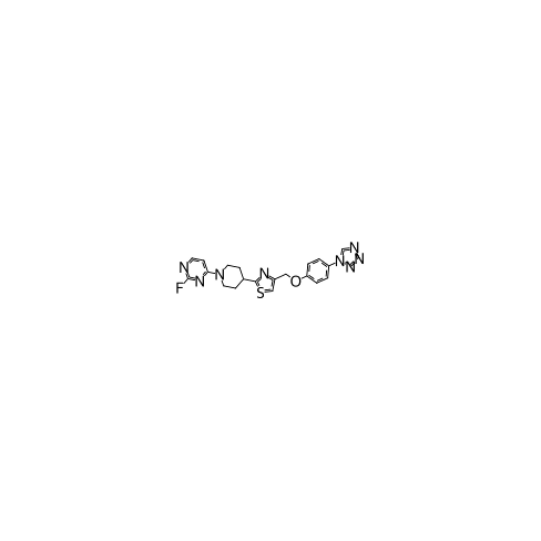 Fc1nccc(N2CCC(c3nc(COc4ccc(-n5cnnn5)cc4)cs3)CC2)n1